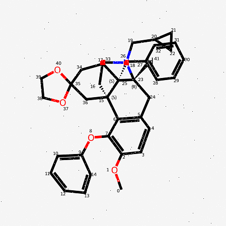 COc1ccc2c(c1Oc1ccccc1)[C@]13CCN(CC4CC4)[C@H](C2)[C@]1(Cc1ccccc1)CCC1(C3)OCCO1